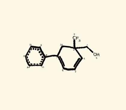 OCC1(C(F)(F)F)C=CC=C(c2ccccc2)C1